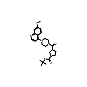 COc1ccc2c(N3CCN(C(=O)C4CCN(C(=O)OC(C)(C)C)C4)CC3)ccnc2c1